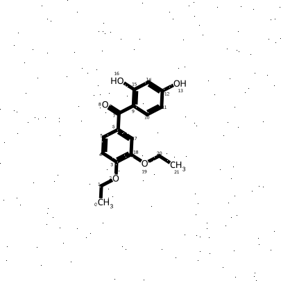 CCOc1ccc(C(=O)c2ccc(O)cc2O)cc1OCC